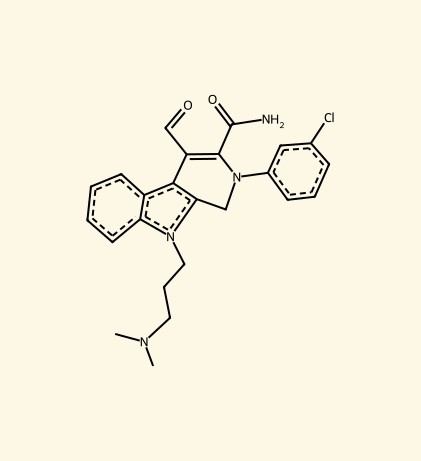 CN(C)CCCn1c2c(c3ccccc31)C(C=O)=C(C(N)=O)N(c1cccc(Cl)c1)C2